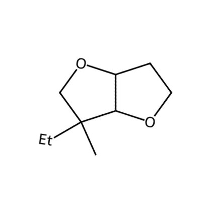 CCC1(C)COC2CCOC21